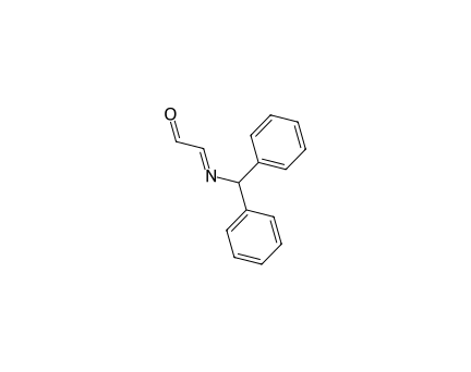 O=CC=NC(c1ccccc1)c1ccccc1